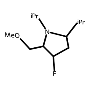 COCC1C(F)CC(C(C)C)N1C(C)C